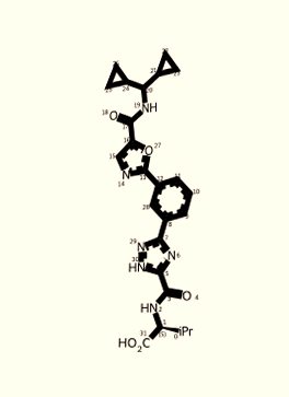 CC(C)[C@H](NC(=O)c1nc(-c2cccc(-c3ncc(C(=O)NC(C4CC4)C4CC4)o3)c2)n[nH]1)C(=O)O